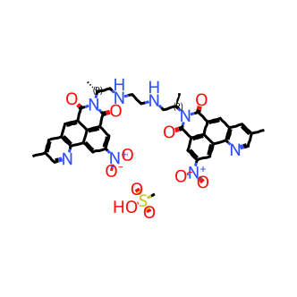 CS(=O)(=O)O.Cc1cnc2c(c1)cc1c3c(cc([N+](=O)[O-])cc32)C(=O)N([C@H](C)CNCCNC[C@@H](C)N2C(=O)c3cc([N+](=O)[O-])cc4c3c(cc3cc(C)cnc34)C2=O)C1=O